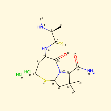 CN[C@@H](C)C(=S)NC1CCSC2CC(C)(C)C(C(N)=O)N2C1=O.Cl.Cl